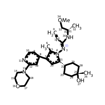 C=N/C(=N\n1c(C)c(-c2ccnc(N3CCOCC3)c2)cc1[C@H]1CC[C@@](C)(O)CC1)N[C@@H](C)COC